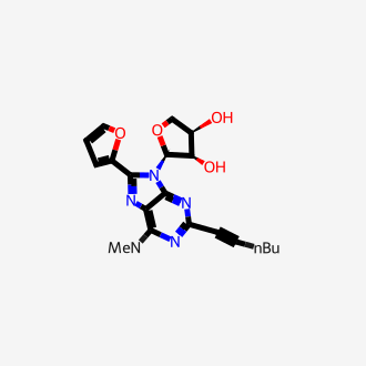 CCCCC#Cc1nc(NC)c2nc(-c3ccco3)n([C@H]3OC[C@@H](O)[C@H]3O)c2n1